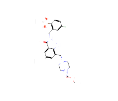 CCS(=O)(=O)c1ccc(Cl)cc1CNC(=O)c1cc(C(F)(F)F)cc(CN2CCN(C(=O)OC(C)(C)C)CC2)c1N